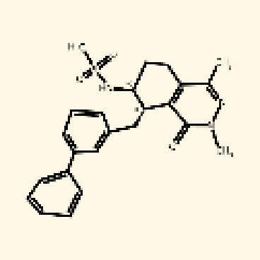 Cc1nn(C)c(=O)c2c1CC[C@H](NS(C)(=O)=O)[C@@H]2Cc1cccc(-c2ccccc2)c1